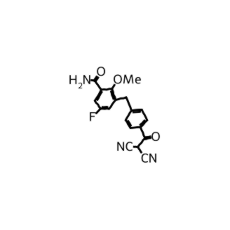 COc1c(Cc2ccc(C(=O)C(C#N)C#N)cc2)cc(F)cc1C(N)=O